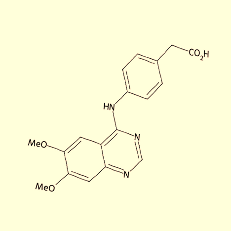 COc1cc2ncnc(Nc3ccc(CC(=O)O)cc3)c2cc1OC